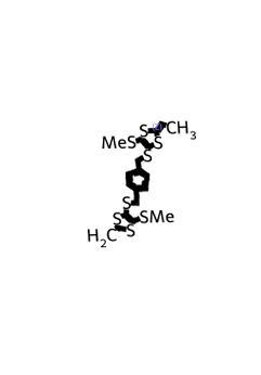 C=C1SC(SC)=C(SCc2ccc(CSC3=C(SC)S/C(=C/C)S3)cc2)S1